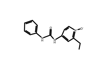 CCc1cc(NC(=O)Nc2ccccc2)cc[n+]1[O-]